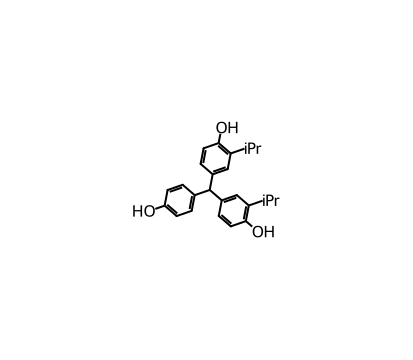 CC(C)c1cc(C(c2ccc(O)cc2)c2ccc(O)c(C(C)C)c2)ccc1O